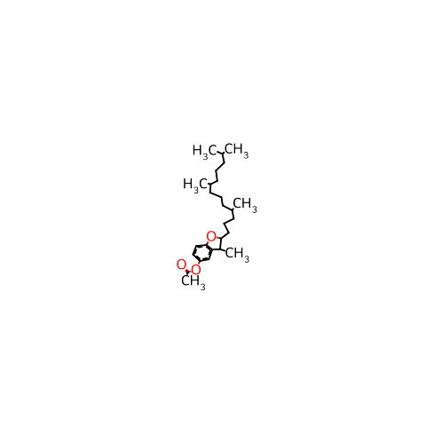 CC(=O)Oc1ccc2c(c1)C(C)C(CCCC(C)CCCC(C)CCCC(C)C)O2